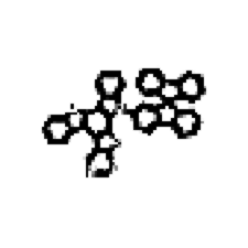 c1ccc2c(c1)-c1ccccc1C21c2ccccc2-c2ccc(-n3c4ccccc4c4c5sc6ccccc6c5c5c6cncnc6sc5c43)cc21